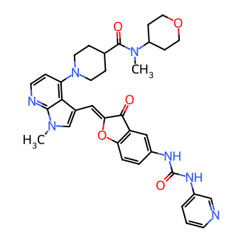 CN(C(=O)C1CCN(c2ccnc3c2c(/C=C2\Oc4ccc(NC(=O)Nc5cccnc5)cc4C2=O)cn3C)CC1)C1CCOCC1